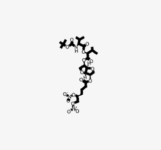 CC(C)[C@H](NC(=O)OC(C)(C)C)C(=O)O[C@H](C(=O)O[C@@H]1CO[C@H]2[C@@H]1OC[C@H]2OC(=O)CCC[C@@H](CO[N+](=O)[O-])O[N+](=O)[O-])C(C)C